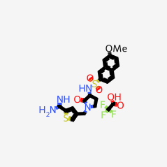 COc1ccc2ccc(S(=O)(=O)NC3CCN(Cc4csc(C(=N)N)c4)C3=O)cc2c1.O=C(O)C(F)(F)F